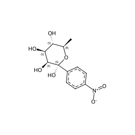 C[C@H]1O[C@@](O)(c2ccc([N+](=O)[O-])cc2)[C@@H](O)[C@@H](O)[C@@H]1O